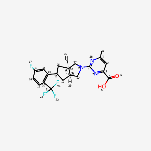 Cc1cc(C(=O)O)nc(N2C[C@H]3CC(c4cc(F)ccc4C(F)(F)F)C[C@H]3C2)n1